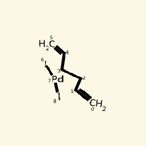 C=CCCC=C.[I][Pd][I]